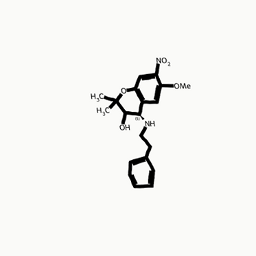 COc1cc2c(cc1[N+](=O)[O-])OC(C)(C)C(O)[C@H]2NCCc1ccccc1